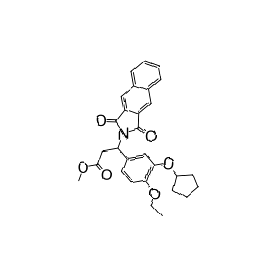 CCOc1ccc(C(CC(=O)OC)N2C(=O)c3cc4ccccc4cc3C2=O)cc1OC1CCCC1